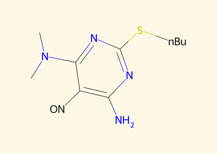 CCCCSc1nc(N)c(N=O)c(N(C)C)n1